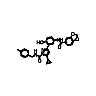 Cc1ccc(CNC(=O)n2nc(-c3cc(NC(=O)c4ccc5c(c4)OCO5)ccc3O)cc2C2CC2)cc1